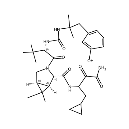 CC(C)(Cc1cccc(O)c1)NC(=O)N[C@H](C(=O)N1C[C@H]2[C@@H]([C@H]1C(=O)NC(CC1CC1)C(=O)C(N)=O)C2(C)C)C(C)(C)C